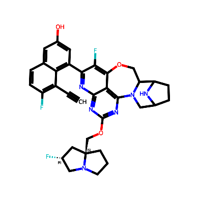 C#Cc1c(F)ccc2cc(O)cc(-c3nc4nc(OC[C@@]56CCCN5C[C@H](F)C6)nc5c4c(c3F)OCC3C4CCC(CN53)N4)c12